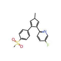 CC1C=C(c2ccc(S(C)(=O)=O)cc2)C(c2ccc(F)cn2)=C1